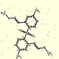 CCC=Cc1cc(C)ccc1S(=O)(=O)c1ccc(C)cc1C=CCC